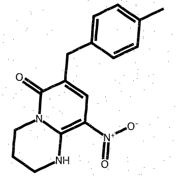 Cc1ccc(Cc2cc([N+](=O)[O-])c3n(c2=O)CCCN3)cc1